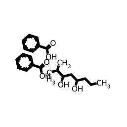 CCCC(O)CC(O)C(C)C.O=C(O)c1ccccc1.O=C(O)c1ccccc1